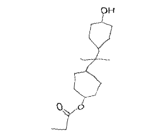 CCC(=O)OC1CCC(C(C)(C)C2CCC(O)CC2)CC1